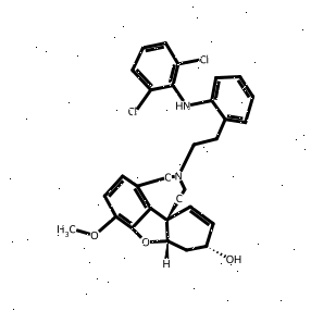 COc1ccc2c3c1O[C@H]1C[C@@H](O)C=C[C@@]31CCN(CCc1ccccc1Nc1c(Cl)cccc1Cl)C2